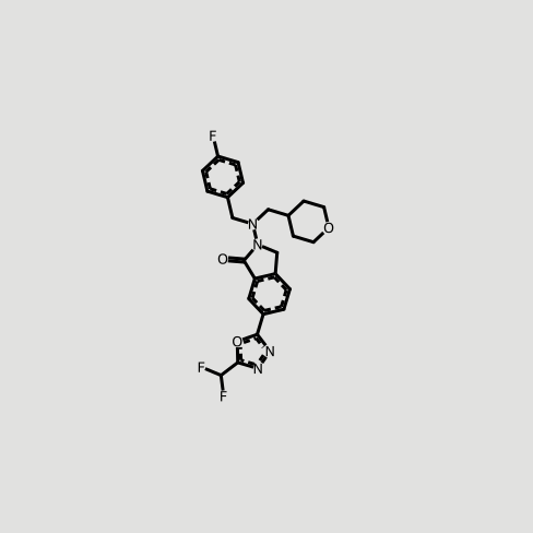 O=C1c2cc(-c3nnc(C(F)F)o3)ccc2CN1N(Cc1ccc(F)cc1)CC1CCOCC1